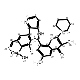 Cc1cc([C@@H](C)Nc2cccnc2-c2cc(Cl)c3c(c2)C=NOB3O)c2oc(N3CCCCC3)c(C)c(=O)c2c1